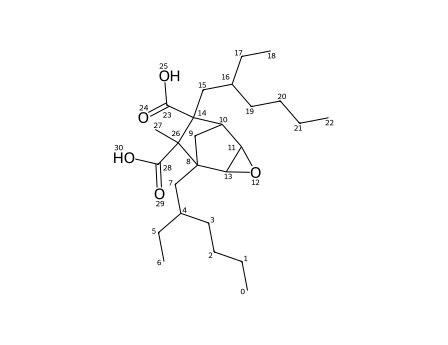 CCCCC(CC)CC12CC(C3OC31)C(CC(CC)CCCC)(C(=O)O)C2(C)C(=O)O